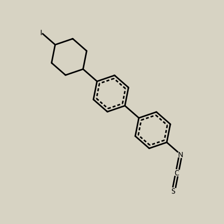 S=C=Nc1ccc(-c2ccc(C3CCC(I)CC3)cc2)cc1